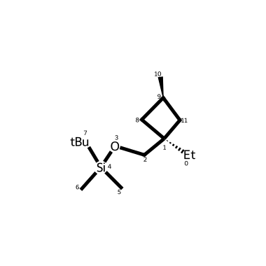 CC[C@]1(CO[Si](C)(C)C(C)(C)C)C[C@@H](C)C1